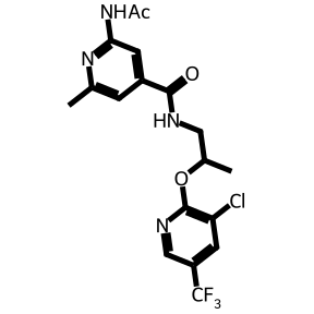 CC(=O)Nc1cc(C(=O)NCC(C)Oc2ncc(C(F)(F)F)cc2Cl)cc(C)n1